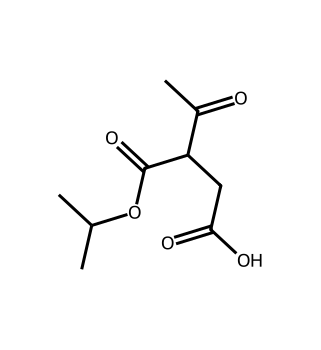 CC(=O)C(CC(=O)O)C(=O)OC(C)C